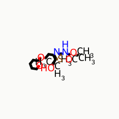 CC(C)(C)OC(=O)Nc1nc(CCOC2CCCCO2)c(C(C)(C)O)s1